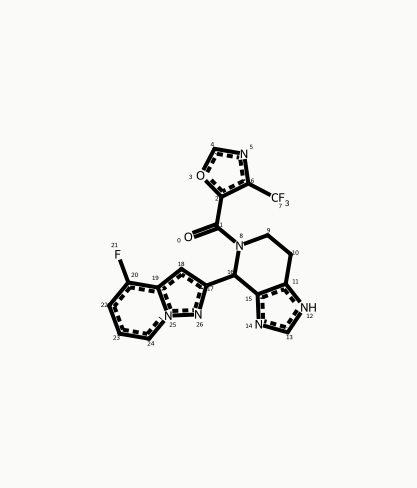 O=C(c1ocnc1C(F)(F)F)N1CCc2[nH]cnc2C1c1cc2c(F)cccn2n1